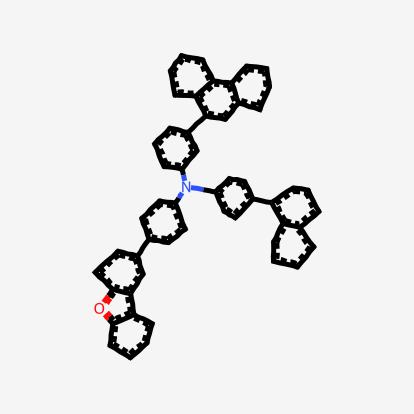 c1cc(-c2cc3ccccc3c3ccccc23)cc(N(c2ccc(-c3ccc4oc5ccccc5c4c3)cc2)c2ccc(-c3cccc4ccccc34)cc2)c1